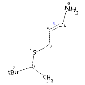 CC(SC/C=C/N)C(C)(C)C